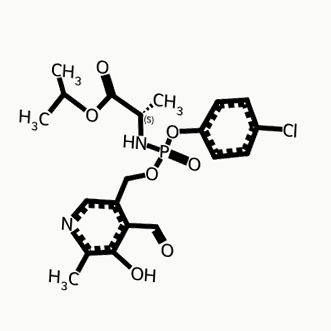 Cc1ncc(COP(=O)(N[C@@H](C)C(=O)OC(C)C)Oc2ccc(Cl)cc2)c(C=O)c1O